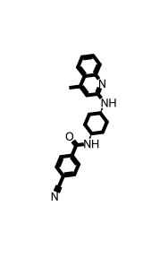 Cc1cc(N[C@H]2CC[C@@H](NC(=O)c3ccc(C#N)cc3)CC2)nc2ccccc12